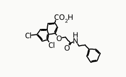 O=C(COc1cc(C(=O)O)cc2cc(Cl)cc(Cl)c12)NCCc1ccccc1